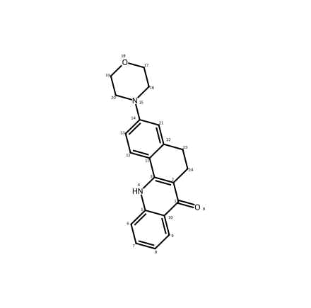 O=c1c2c([nH]c3ccccc13)-c1ccc(N3CCOCC3)cc1CC2